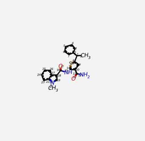 CC(c1ccccc1)c1cc(C(N)=O)c(NC(=O)c2cn(C)c3ccccc23)s1